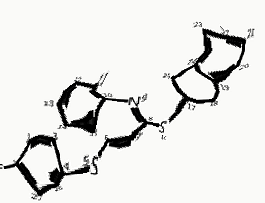 Fc1ccc(SC=CC(=Nc2ccccc2)SC2Cc3ccccc3C2)cc1